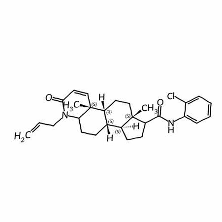 C=CCN1C(=O)C=C[C@@]2(C)C1CC[C@@H]1[C@H]2CC[C@]2(C)C(C(=O)Nc3ccccc3Cl)CC[C@@H]12